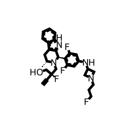 C#C[C@](F)(CO)CN1[C@H](c2c(F)cc(NC3CN(CCCF)C3)cc2F)c2[nH]c3ccccc3c2C[C@H]1C